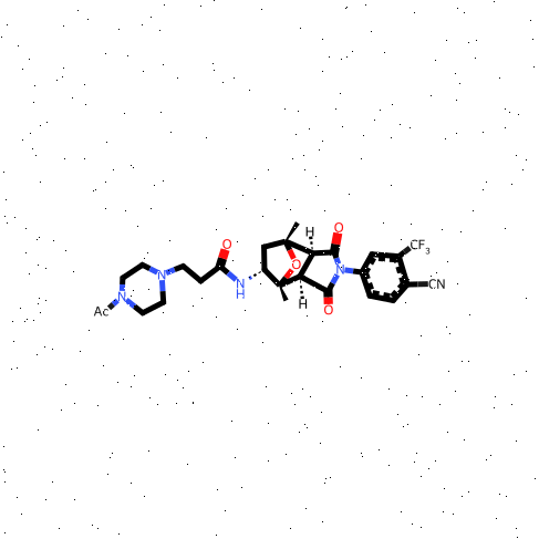 CC(=O)N1CCN(CCC(=O)N[C@@H]2C[C@@]3(C)O[C@]2(C)[C@@H]2C(=O)N(c4ccc(C#N)c(C(F)(F)F)c4)C(=O)[C@@H]23)CC1